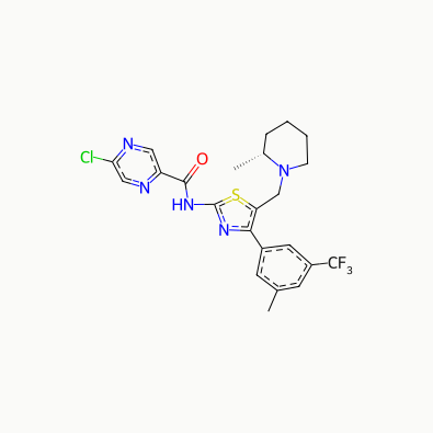 Cc1cc(-c2nc(NC(=O)c3cnc(Cl)cn3)sc2CN2CCCC[C@H]2C)cc(C(F)(F)F)c1